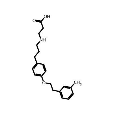 Cc1cccc(CCOc2ccc(CCCNCCC(=O)O)cc2)c1